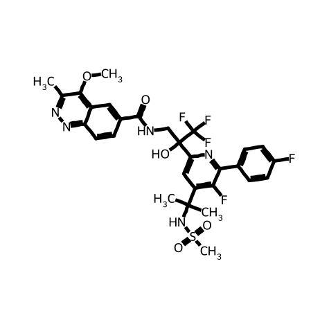 COc1c(C)nnc2ccc(C(=O)NCC(O)(c3cc(C(C)(C)NS(C)(=O)=O)c(F)c(-c4ccc(F)cc4)n3)C(F)(F)F)cc12